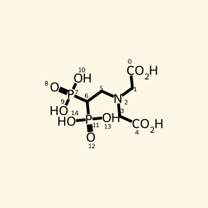 O=C(O)CN(CC(=O)O)CC(P(=O)(O)O)P(=O)(O)O